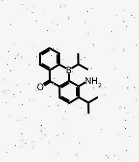 CC(C)B1c2ccccc2C(=O)c2ccc(C(C)C)c(N)c21